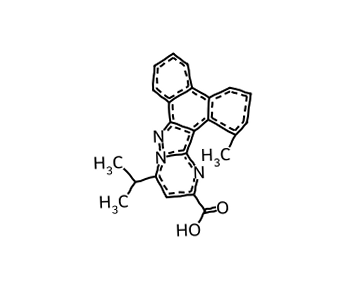 Cc1cccc2c3ccccc3c3nn4c(C(C)C)cc(C(=O)O)nc4c3c12